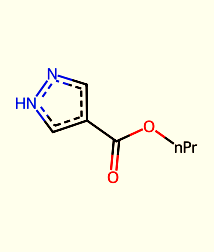 CCCOC(=O)c1cn[nH]c1